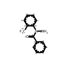 NN(C(=O)c1ccccc1)c1ccccc1C(F)(F)F